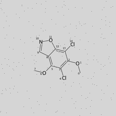 COc1c(Cl)c(OC)c2cnoc2c1Cl